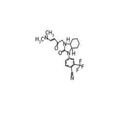 CN(C)C=CC(=O)CN1C(=O)N(c2ccc(C#N)c(C(F)(F)F)c2)[C@H]2CCCC[C@@H]21